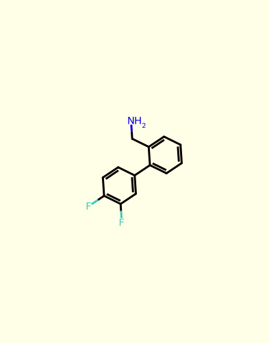 NCc1ccccc1-c1ccc(F)c(F)c1